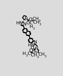 CCCN(Cc1nc2cc(-c3ccc4cc(-c5c[nH]c([C@@H]6CCCN6C(=O)OC(C)(C)C)n5)ccc4c3)ccc2[nH]1)C(=O)OC(C)(C)C